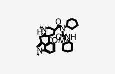 CO[C@@]12CC(C(=O)N(C(=O)NC3CCCCC3)C3CCCCC3)CN(C)[C@@H]1Cc1cn(C)c3cccc2c13